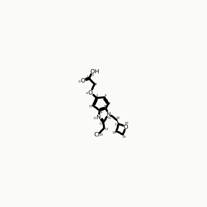 O=C(O)COc1ccc2c(c1)nc(CCl)n2C[C@@H]1CCO1